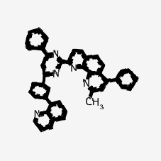 Cc1cc(-c2ccccc2)c2ccc3ccc(-c4nc(-c5ccccc5)cc(-c5cccc(-c6cccc7cccnc67)c5)n4)nc3c2n1